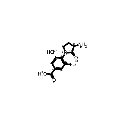 CC(=O)c1ccc(N2CCC(N)C2=O)c(F)c1.Cl